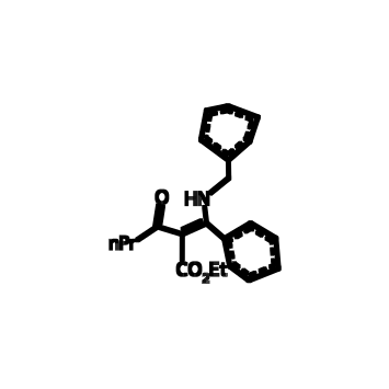 CCCC(=O)/C(C(=O)OCC)=C(\NCc1ccccc1)c1ccccc1